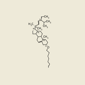 CC[C@H](C=C[C@@H](C)[C@H]1CCC2C3CC=C4C[C@@H](OCCCCCCI)CC[C@]4(C)C3CC[C@@]21C)C(C)C